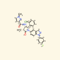 C[C@H]1C(=O)N(c2ccc3c(cnn3-c3ccc(F)cc3)c2)C(c2ccccc2Cl)[C@H]1NC(=O)c1ccn(C)n1